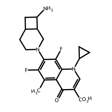 Cc1c(F)c(N2CCC3CC(N)C3C2)c(F)c2c1c(=O)c(C(=O)O)cn2C1CC1